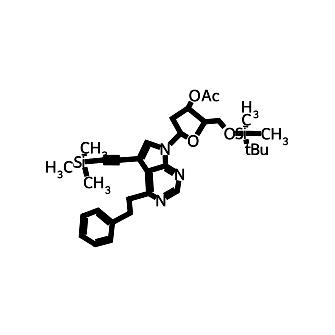 CC(=O)OC1CC(n2cc(C#C[Si](C)(C)C)c3c(CCc4ccccc4)ncnc32)OC1CO[Si](C)(C)C(C)(C)C